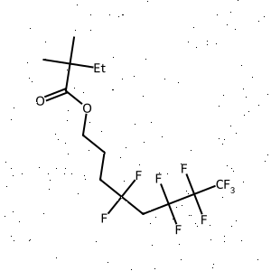 CCC(C)(C)C(=O)OCCCC(F)(F)CC(F)(F)C(F)(F)C(F)(F)F